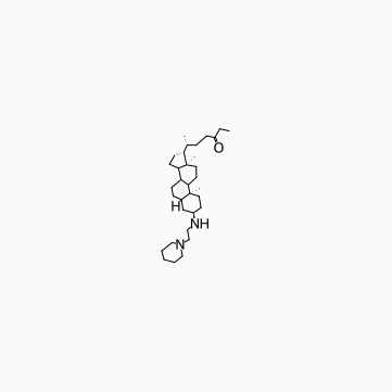 CCC(=O)CC[C@@H](C)[C@H]1CCC2C3CC[C@H]4C[C@H](NCCN5CCCCC5)CC[C@]4(C)C3CC[C@@]21C